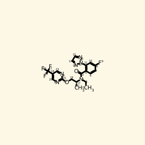 CCN(C(=O)c1ccc(F)cc1-n1nccn1)[C@@H](C)COc1ncc(C(F)(F)F)cn1